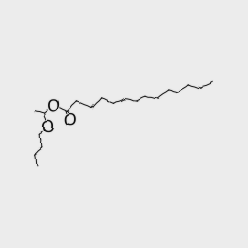 CCCCCCCCCCCCCC(=O)OC(C)OCCCC